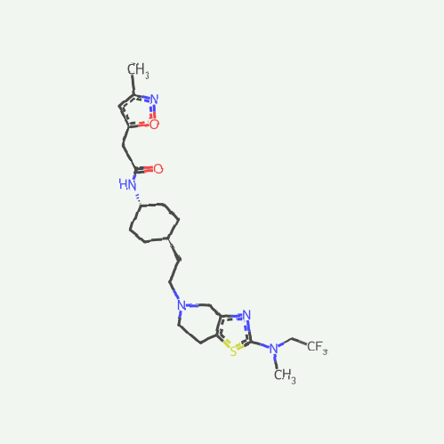 Cc1cc(CC(=O)N[C@H]2CC[C@H](CCN3CCc4sc(N(C)CC(F)(F)F)nc4C3)CC2)on1